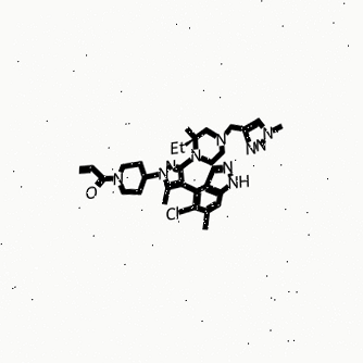 C=CC(=O)N1CCC(n2nc(N3CCN(Cc4cn(C)nn4)C[C@]3(C)CC)c(-c3c(Cl)c(C)cc4[nH]ncc34)c2C)CC1